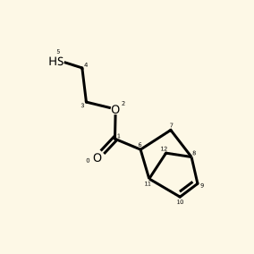 O=C(OCCS)C1CC2C=CC1C2